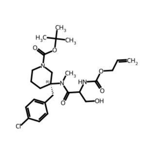 C=CCOC(=O)NC(CO)C(=O)N(C)[C@@]1(Cc2ccc(Cl)cc2)CCCN(C(=O)OC(C)(C)C)C1